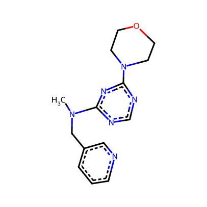 CN(Cc1cccnc1)c1ncnc(N2CCOCC2)n1